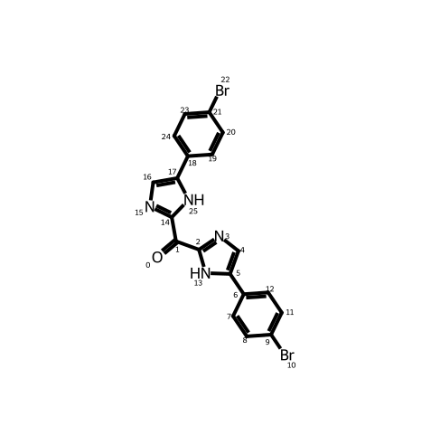 O=C(c1ncc(-c2ccc(Br)cc2)[nH]1)c1ncc(-c2ccc(Br)cc2)[nH]1